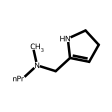 CCCN(C)CC1=CCCN1